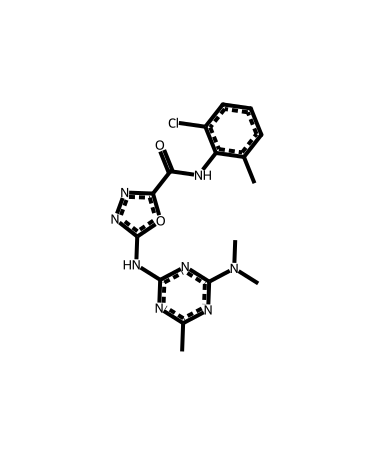 Cc1nc(Nc2nnc(C(=O)Nc3c(C)cccc3Cl)o2)nc(N(C)C)n1